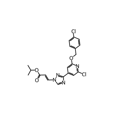 CC(C)OC(=O)C=Cn1cnc(-c2cc(Cl)nc(OCc3ccc(Cl)cc3)c2)n1